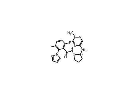 Cc1cnc(N[C@H]2CCC[C@@H]2NC(=O)c2c(F)ccc(F)c2-n2nccn2)cn1